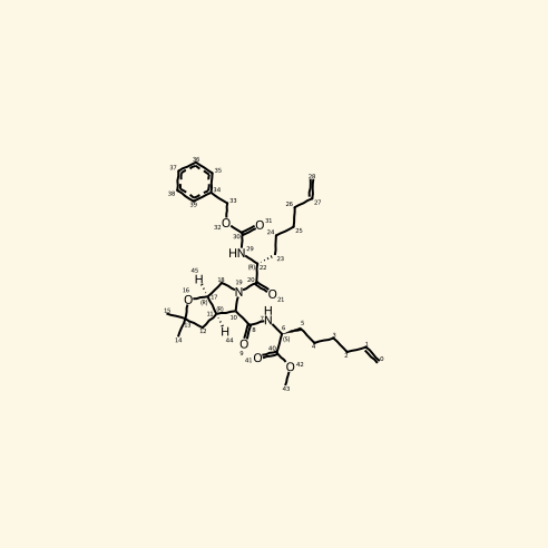 C=CCCCC[C@H](NC(=O)C1[C@H]2CC(C)(C)O[C@H]2CN1C(=O)[C@@H](CCCCC=C)NC(=O)OCc1ccccc1)C(=O)OC